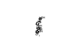 O=C(CN1CCC[C@@H](Nc2nnc(-c3ccc(C(F)(F)F)cc3O)c3c2COC3)C1)N1CC[C@@H](O)C1